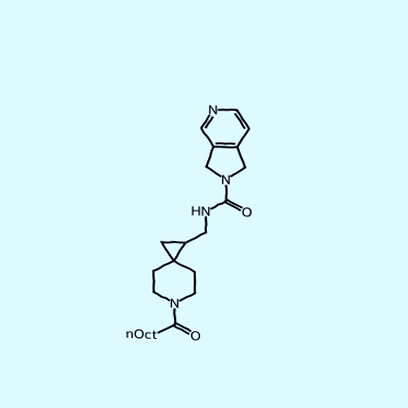 CCCCCCCCC(=O)N1CCC2(CC1)CC2CNC(=O)N1Cc2ccncc2C1